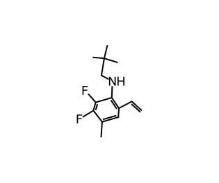 C=Cc1cc(C)c(F)c(F)c1NCC(C)(C)C